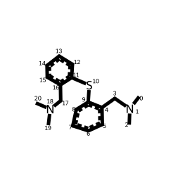 CN(C)Cc1ccccc1Sc1ccccc1CN(C)C